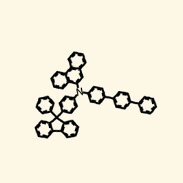 c1ccc(-c2ccc(-c3ccc(N(c4ccc(C5(c6ccccc6)c6ccccc6-c6ccccc65)cc4)c4cc5ccccc5c5ccccc45)cc3)cc2)cc1